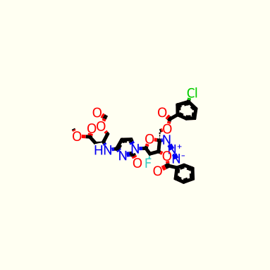 COC(=O)C[C@@H](COC=O)Nc1ccn(C2O[C@@](COC(=O)c3cccc(Cl)c3)(N=[N+]=[N-])C(OC(=O)c3ccccc3)[C@@H]2F)c(=O)n1